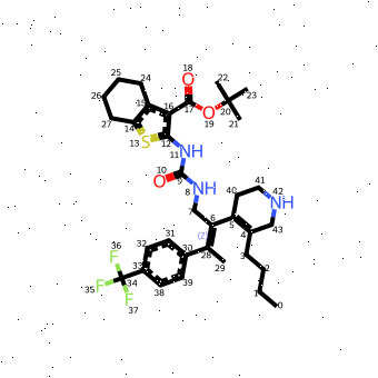 CCCCC1=C(/C(CNC(=O)Nc2sc3c(c2C(=O)OC(C)(C)C)CCCC3)=C(\C)c2ccc(C(F)(F)F)cc2)CCNC1